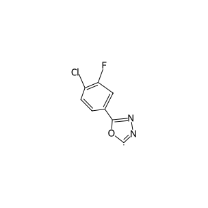 Fc1cc(-c2nn[c]o2)ccc1Cl